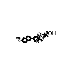 C=C(NCC(C)(C)C(=C)O)c1ncc(-c2ccc3cc(OCC)ccc3c2)cc1O